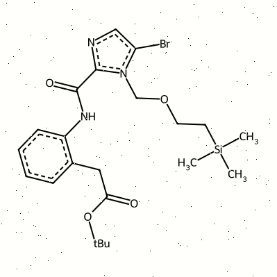 CC(C)(C)OC(=O)Cc1ccccc1NC(=O)c1ncc(Br)n1COCC[Si](C)(C)C